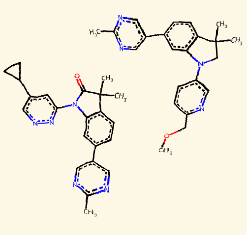 COCc1ccc(N2CC(C)(C)c3ccc(-c4cnc(C)nc4)cc32)cn1.Cc1ncc(-c2ccc3c(c2)N(c2cc(C4CC4)cnn2)C(=O)C3(C)C)cn1